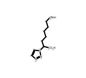 CCCCCCCCCCCCCCC(C(=O)O)n1ccnn1